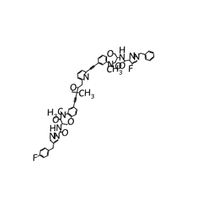 CN1C(=O)C(NC(=O)c2nn(Cc3ccccc3)cc2F)COc2ccc(C#Cc3cccc(CC4OCC4(C)C#Cc4ccc5c(c4)N(C)C(=O)C(NC(=O)n4cc(Cc6ccc(F)cc6)cn4)CO5)n3)cc21